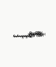 C\C=C/C=C/C(C)=C/C=C/C=C(C)/C=C/C=C(C)/C=C/C1=C(C)C(=O)C(OC(=O)OCC(O)C(O)C(O)C(O)CO)CC1(C)C